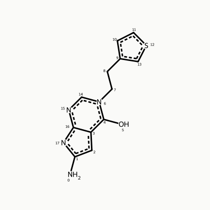 Nc1cc2c(O)n(CCc3ccsc3)cnc-2n1